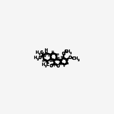 COc1ccc2oc(=O)c3c4c(ccc3c2c1OC)NC(C)(C)C=C4C